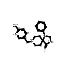 O=C1NCN(c2ccccc2)C12CCN(Cc1ccc(Cl)nc1)CC2